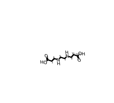 O=C(O)C[CH]NCCN[CH]CC(=O)O